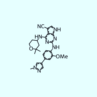 COc1cc(-c2cnn(C)c2)ccc1Nc1nc(NC2CCOC(C)(C)C2)c2c(C#N)c[nH]c2n1